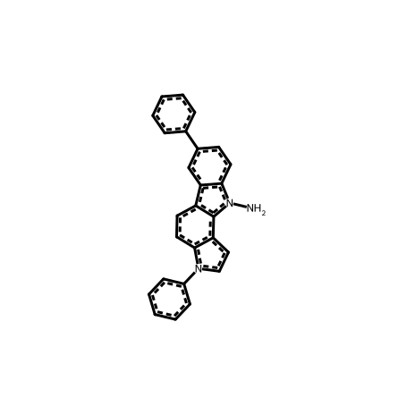 Nn1c2ccc(-c3ccccc3)cc2c2ccc3c(ccn3-c3ccccc3)c21